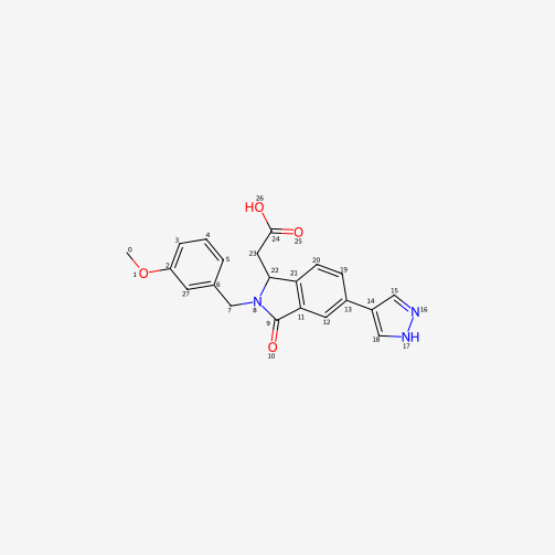 COc1cccc(CN2C(=O)c3cc(-c4cn[nH]c4)ccc3C2CC(=O)O)c1